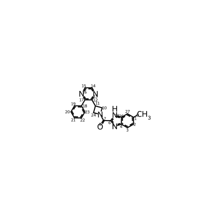 Cc1ccc2nc(C(=O)N3CC(c4nccnc4-c4ccccc4)C3)[nH]c2c1